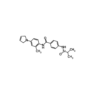 Cc1cc(N2CC=CC2)ccc1NC(=O)c1ccc(N[S+]([O-])C(C)C)cc1